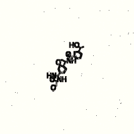 COCC1NC(c2ccc3c(c2)OC[C@H]3NC(=O)c2cccc([C@H](C)O)c2)NO1